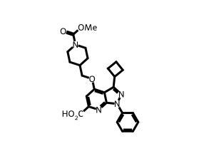 COC(=O)N1CCC(COc2cc(C(=O)O)nc3c2c(C2CCC2)nn3-c2ccccc2)CC1